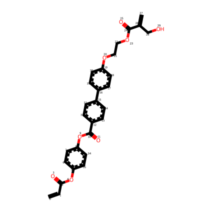 C=CC(=O)Oc1ccc(OC(=O)c2ccc(-c3ccc(OCCOC(=O)C(=C)CO)cc3)cc2)cc1